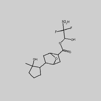 CC1(O)CCCC1C1CC2OC1CC2C(=O)OC(O)C(F)(F)S(=O)(=O)O